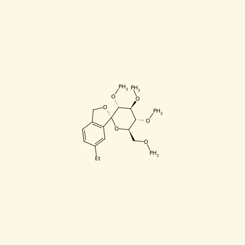 CCc1ccc2c(c1)[C@]1(OC2)O[C@H](COP)[C@@H](OP)[C@H](OP)[C@H]1OP